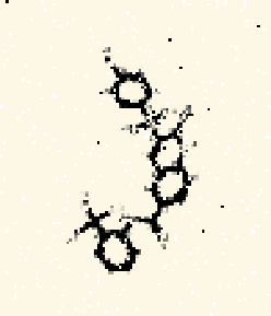 O=C(Nc1ccccc1C(F)(F)F)c1ccc2c(c1)C=C(S(=O)(=O)c1ccc(F)cc1)C(O)O2